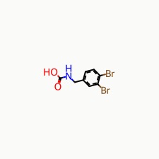 O=C(O)NCc1ccc(Br)c(Br)c1